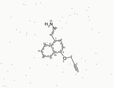 C#CCOc1ccc(C=NN)c2ccccc12